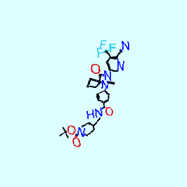 C=C1N(c2cnc(C#N)c(C(F)(F)F)c2)C(=O)C2(CCC2)N1c1ccc(C(=O)NCC2CCN(C(=O)OC(C)(C)C)CC2)cc1